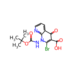 CC(C)(C)OC(=O)Nn1c(Br)c(C(=O)O)c(=O)c2cccnc21